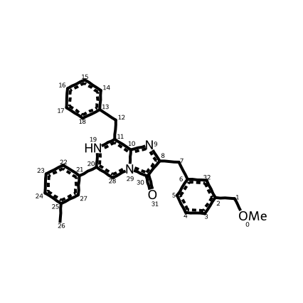 COCc1cccc(Cc2nc3c(Cc4ccccc4)[nH]c(-c4cccc(C)c4)cn-3c2=O)c1